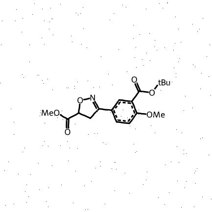 COC(=O)C1CC(c2ccc(OC)c(C(=O)OC(C)(C)C)c2)=NO1